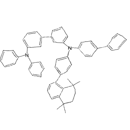 CC1(C)CCC(C)(C)c2c(-c3ccc(N(c4ccc(-c5ccccc5)cc4)c4cccc(-c5cccc(N(c6ccccc6)c6ccccc6)c5)c4)cc3)cccc21